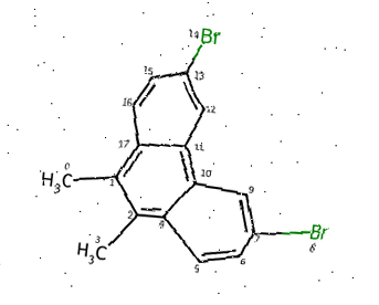 Cc1c(C)c2ccc(Br)cc2c2cc(Br)ccc12